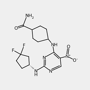 NC(=O)C1CCC(Nc2nc(N[C@@H]3CCC(F)(F)C3)ncc2[N+](=O)[O-])CC1